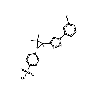 CC1(C)[C@@H](c2ccc(S(N)(=O)=O)cc2)[C@@H]1c1cn(-c2cccc(F)c2)nn1